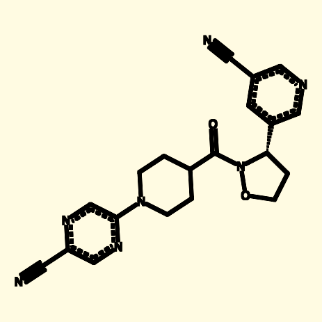 N#Cc1cncc([C@@H]2CCON2C(=O)C2CCN(c3cnc(C#N)cn3)CC2)c1